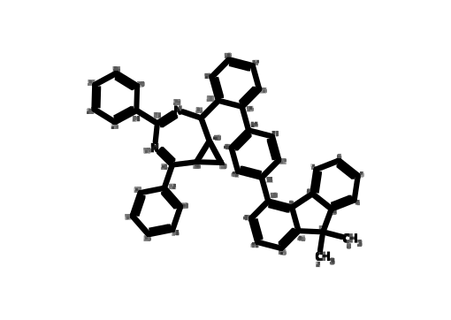 CC1(C)c2ccccc2-c2c(-c3ccc(-c4ccccc4C4N=C(c5ccccc5)N=C(c5ccccc5)C5CC54)cc3)cccc21